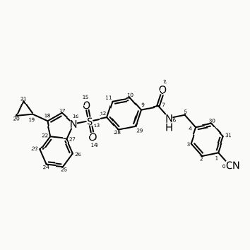 N#Cc1ccc(CNC(=O)c2ccc(S(=O)(=O)n3cc(C4CC4)c4ccccc43)cc2)cc1